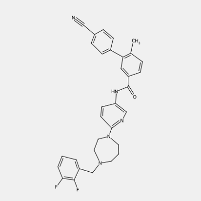 Cc1ccc(C(=O)Nc2ccc(N3CCCN(Cc4cccc(F)c4F)CC3)nc2)cc1-c1ccc(C#N)cc1